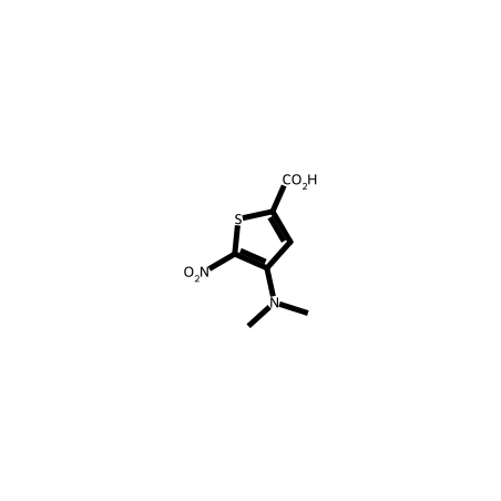 CN(C)c1cc(C(=O)O)sc1[N+](=O)[O-]